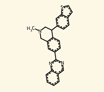 CN1Cc2cc(-c3ncc4ccccc4n3)ccc2C(c2ccc3ccsc3c2)C1